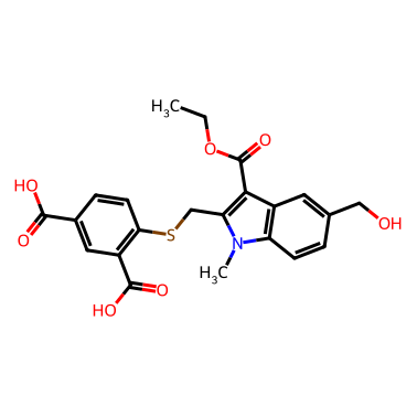 CCOC(=O)c1c(CSc2ccc(C(=O)O)cc2C(=O)O)n(C)c2ccc(CO)cc12